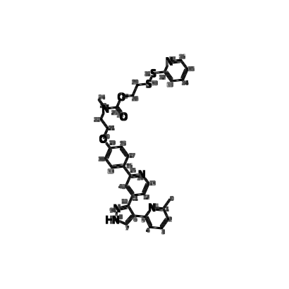 Cc1cccc(-c2c[nH]nc2-c2ccnc(-c3ccc(OCCN(C)C(=O)OCCSSc4ccccn4)cc3)c2)n1